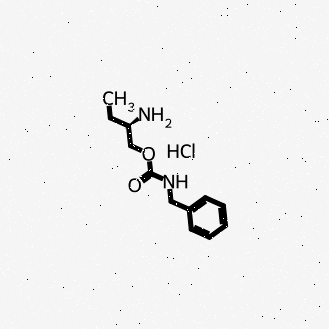 CC[C@@H](N)COC(=O)NCc1ccccc1.Cl